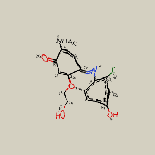 CC(=O)NC1=CC(=Nc2ccc(O)cc2Cl)C(OCCO)=CC1=O